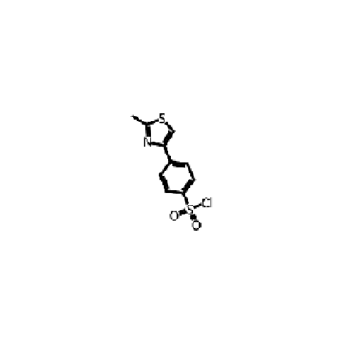 Cc1nc(-c2ccc(S(=O)(=O)Cl)cc2)cs1